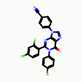 N#Cc1ccc(-n2cnc3c(=O)n(-c4ccc(Br)cc4)c(-c4ccc(Cl)cc4Cl)nc32)cc1